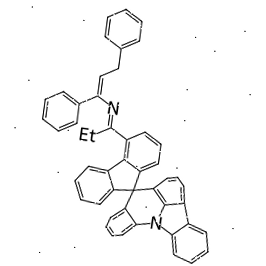 CC/C(=N\C(=C/Cc1ccccc1)c1ccccc1)c1cccc2c1-c1ccccc1C21c2ccccc2-n2c3ccccc3c3cccc1c32